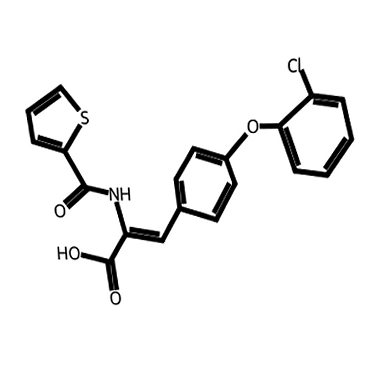 O=C(O)C(=Cc1ccc(Oc2ccccc2Cl)cc1)NC(=O)c1cccs1